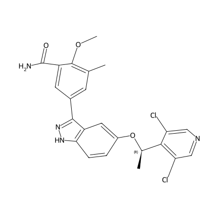 COc1c(C)cc(-c2n[nH]c3ccc(O[C@H](C)c4c(Cl)cncc4Cl)cc23)cc1C(N)=O